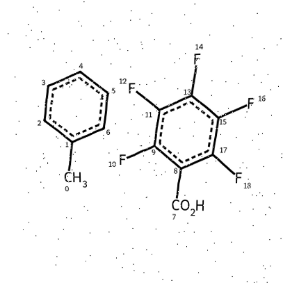 Cc1ccccc1.O=C(O)c1c(F)c(F)c(F)c(F)c1F